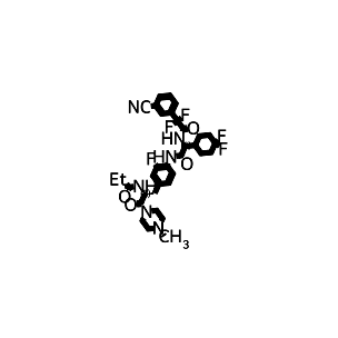 CCC(=O)N[C@H](Cc1ccc(NC(=O)[C@@H](NC(=O)C(F)(F)c2cccc(C#N)c2)C2CCC(F)(F)CC2)c(F)c1)C(=O)N1CCN(C)CC1